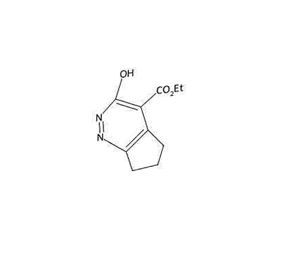 CCOC(=O)c1c(O)nnc2c1CCC2